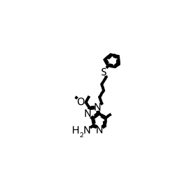 COC(C)c1nc2c(N)ncc(C)c2n1CCCCCSc1ccccc1